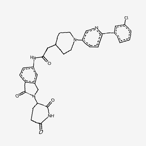 O=C1CCC(N2Cc3cc(NC(=O)CC4CCN(c5ccc(-c6cccc(Cl)c6)nc5)CC4)ccc3C2=O)C(=O)N1